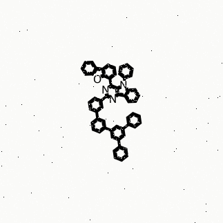 c1ccc(-c2cc(-c3ccccc3)cc(-c3cccc(-c4cccc(-c5nc(-c6cccc7c6oc6ccccc67)c6c(n5)c5ccccc5n6-c5ccccc5)c4)c3)c2)cc1